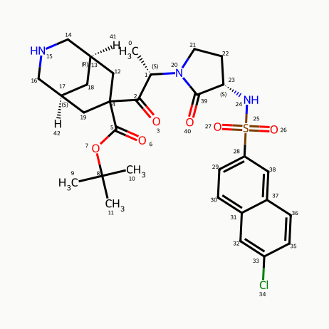 C[C@@H](C(=O)C1(C(=O)OC(C)(C)C)C[C@@H]2CNC[C@@H](C2)C1)N1CC[C@H](NS(=O)(=O)c2ccc3cc(Cl)ccc3c2)C1=O